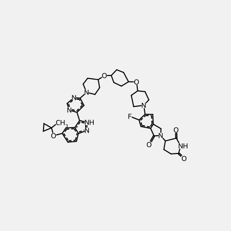 CC1(Oc2ccc3n[nH]c(-c4cc(N5CCC(OC6CCC(OC7CCN(c8cc9c(cc8F)C(=O)N(C8CCC(=O)NC8=O)C9)CC7)CC6)CC5)ncn4)c3c2)CC1